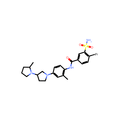 Cc1cc(N2CCC(N3CCCC3C)C2)ccc1NC(=O)c1ccc(C(C)C)c(S(N)(=O)=O)c1